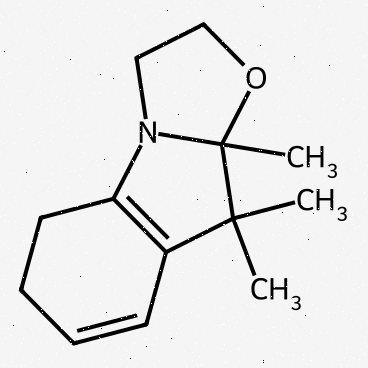 CC1(C)C2=C(CCC=C2)N2CCOC21C